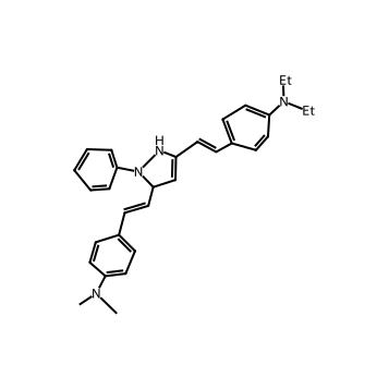 CCN(CC)c1ccc(C=CC2=CC(C=Cc3ccc(N(C)C)cc3)N(c3ccccc3)N2)cc1